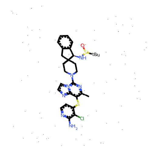 Cc1nc(N2CCC3(CC2)Cc2ccccc2[C@H]3N[S+]([O-])C(C)(C)C)n2ccnc2c1Sc1ccnc(N)c1Cl